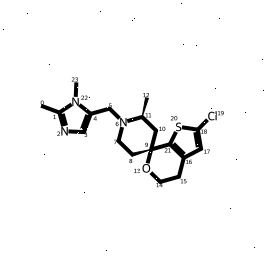 Cc1ncc(CN2CC[C@]3(C[C@@H]2C)OCCc2cc(Cl)sc23)n1C